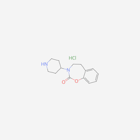 Cl.O=C1Oc2ccccc2CCN1C1CCNCC1